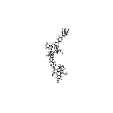 C[CH]C(OC(=O)C1CCN(CCC(CSc2ccccc2)Nc2ccc(S(=O)(=O)Nc3ccc(N4CCN(c5cc(F)cc(-c6c(S(C)(=O)=O)c(C)n(C(C)C)c6-c6ccc(Cl)cc6)c5)CC4)cc3)cc2S(=O)(=O)C(F)(F)F)CC1)P(=O)(O)O